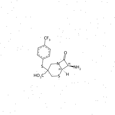 N[C@@H]1C(=O)N2CC(Sc3ccc(C(F)(F)F)cc3)(C(=O)O)CS[C@H]12